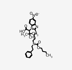 CCCCOC(=O)N(CCCSc1nc2cc([N+](=O)[O-])ccc2n1C(C(=O)O)C(C)(C)C)CCc1ccccc1